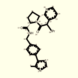 Cc1ncsc1-c1ccc(CNC(=O)[C@@H]2CCCN2C(=O)C(c2cccnc2)C(C)C)cc1